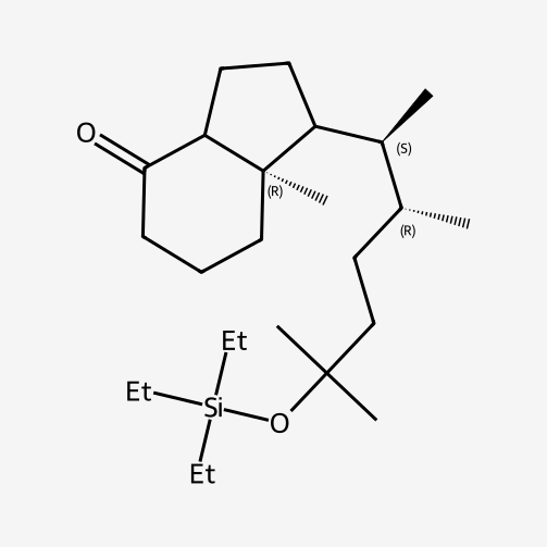 CC[Si](CC)(CC)OC(C)(C)CC[C@@H](C)[C@H](C)C1CCC2C(=O)CCC[C@@]21C